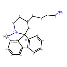 CN1CCC(CCCCN)CC1(c1ccccc1)c1ccccc1